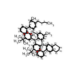 CCCCc1cc(N2c3ccc(C(C)(C)C)cc3B3c4cc(C(C)(C)C)ccc4N(c4cc5c(cc4-c4ccccc4)CCCC5)c4cc(C)cc2c43)c(-c2ccccc2C)cc1C